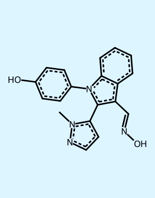 Cn1nccc1-c1c(C=NO)c2ccccc2n1-c1ccc(O)cc1